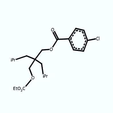 CCOC(=O)OCC(COC(=O)c1ccc(Cl)cc1)(CC(C)C)CC(C)C